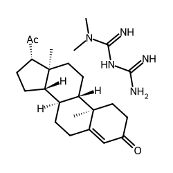 CC(=O)[C@H]1CC[C@H]2[C@@H]3CCC4=CC(=O)CC[C@]4(C)[C@H]3CC[C@]12C.CN(C)C(=N)NC(=N)N